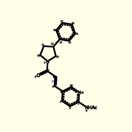 CC(=O)Nc1ccc(/C=C/C(=O)N2CCC(c3ccccc3)C2)cn1